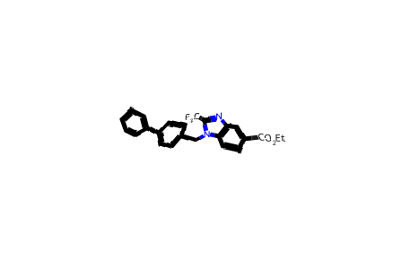 CCOC(=O)c1ccc2c(c1)nc(C(F)(F)F)n2Cc1ccc(-c2ccccc2)cc1